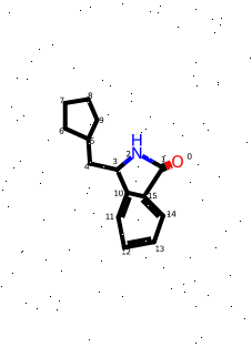 O=C1NC(CC2CCCC2)c2ccccc21